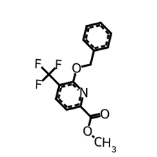 COC(=O)c1ccc(C(F)(F)F)c(OCc2ccccc2)n1